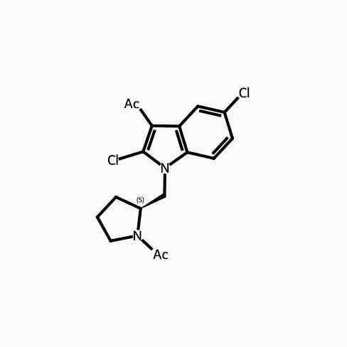 CC(=O)c1c(Cl)n(C[C@@H]2CCCN2C(C)=O)c2ccc(Cl)cc12